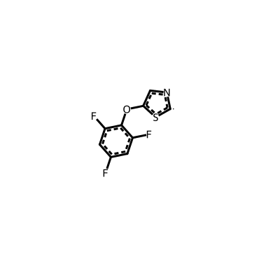 Fc1cc(F)c(Oc2cn[c]s2)c(F)c1